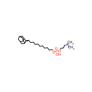 CN(C)CCCOP(=O)(O)OCCCCCCCCCCC=C1C2CC3CC(C2)CC1C3